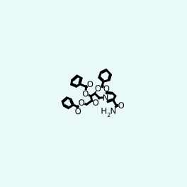 NC(=O)C1=CN(C2OC(COC(=O)c3ccccc3)C(OC(=O)c3ccccc3)[C@H]2OC(=O)c2ccccc2)C=CC1